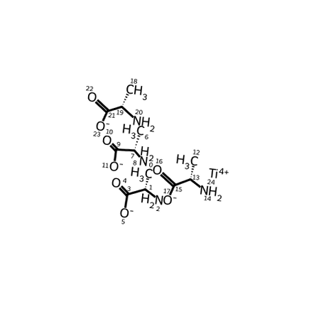 C[C@H](N)C(=O)[O-].C[C@H](N)C(=O)[O-].C[C@H](N)C(=O)[O-].C[C@H](N)C(=O)[O-].[Ti+4]